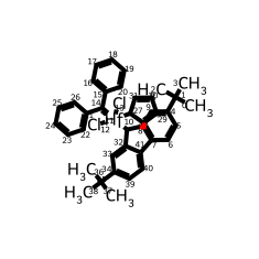 CC(C)(C)c1ccc2c(c1)[CH]([Hf]([Cl])([Cl])(=[C](c1ccccc1)c1ccccc1)[CH]1C=CC=C1)c1cc(C(C)(C)C)ccc1-2